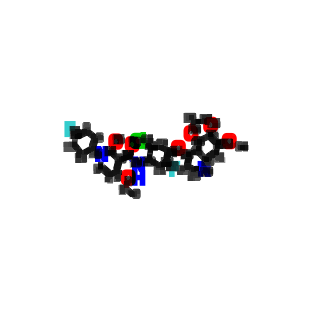 CCOc1ccn(C2=CC=C(F)CC2)c(=O)c1C(=O)NC1CC(F)=C(OC2=CC=NC3=CC(OC)=C4OCCOC4C32)CC1Cl